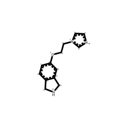 c1cn(CCOc2ccc3c(c2)CNC3)cn1